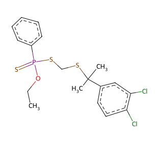 CCOP(=S)(SCSC(C)(C)c1ccc(Cl)c(Cl)c1)c1ccccc1